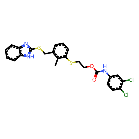 Cc1c(CSc2nc3ccccc3[nH]2)cccc1SCCOC(=O)Nc1ccc(Cl)c(Cl)c1